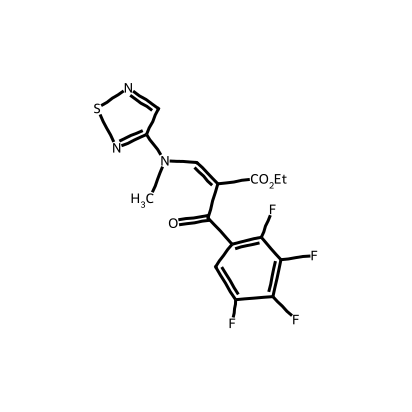 CCOC(=O)/C(=C/N(C)c1cnsn1)C(=O)c1cc(F)c(F)c(F)c1F